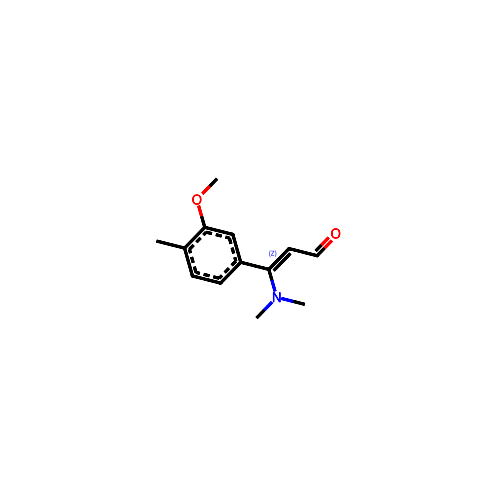 COc1cc(/C(=C/C=O)N(C)C)ccc1C